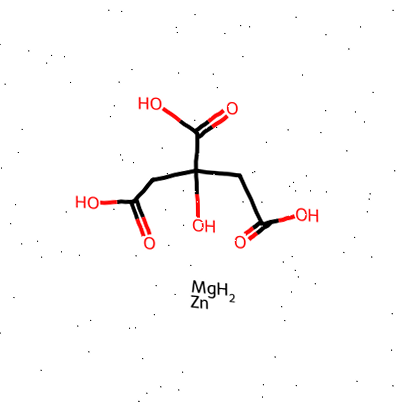 O=C(O)CC(O)(CC(=O)O)C(=O)O.[MgH2].[Zn]